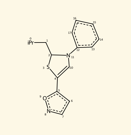 CC(C)CC1SC(c2ccno2)=[C]N1c1ccccc1